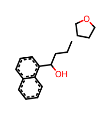 C1CCOC1.CCCC(O)c1cccc2ccccc12